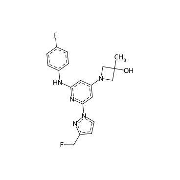 CC1(O)CN(c2cc(Nc3ccc(F)cc3)nc(-n3ccc(CF)n3)c2)C1